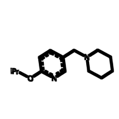 CC(C)Oc1ccc(CN2CCCCC2)cn1